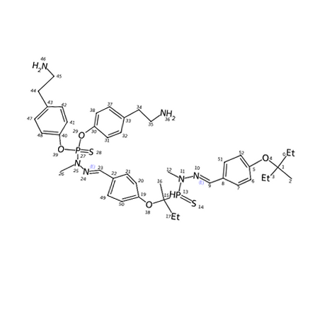 CCC(C)(CC)Oc1ccc(/C=N/N(C)[PH](=S)C(C)(CC)Oc2ccc(/C=N/N(C)P(=S)(Oc3ccc(CCN)cc3)Oc3ccc(CCN)cc3)cc2)cc1